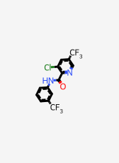 O=C(Nc1cccc(C(F)(F)F)c1)c1ncc(C(F)(F)F)cc1Cl